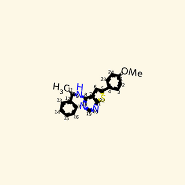 COc1ccc(-c2cc3c(N[C@H](C)c4ccccc4)ncnc3s2)cc1